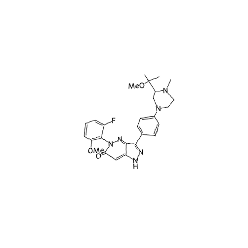 COc1cccc(F)c1-n1nc2c(-c3ccc(N4CCN(C)C(C(C)(C)OC)C4)cc3)n[nH]c2cc1=O